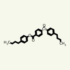 CCCCc1ccc(OC(=O)c2cc[c]([Co](=[O])[c]3ccc(CCCC)cc3)cc2)cc1